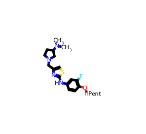 CCCCCOc1ccc(Nc2nc(CN3CCC(N(C)C)C3)cs2)cc1F